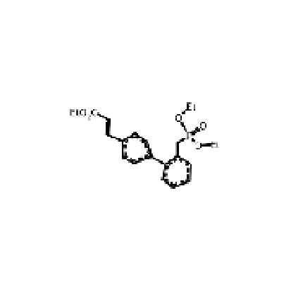 CCOC(=O)/C=C/c1ccc(-c2ccccc2CP(=O)(OCC)OCC)cc1